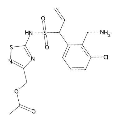 C=CC(c1cccc(Cl)c1CN)S(=O)(=O)Nc1nc(COC(C)=O)ns1